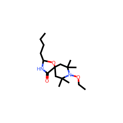 CCCCC1NC(=O)C2(CC(C)(C)N(OCC)C(C)(C)C2)O1